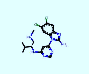 CNC[C@@H](Nc1cc(-n2c(N)nc3cc(Cl)c(Cl)cc32)ncn1)C(C)C